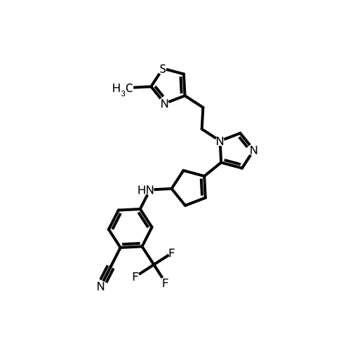 Cc1nc(CCn2cncc2C2=CCC(Nc3ccc(C#N)c(C(F)(F)F)c3)C2)cs1